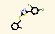 Cc1ccc[c]c1CSc1nnc(-c2ccc(Cl)cc2Cl)s1